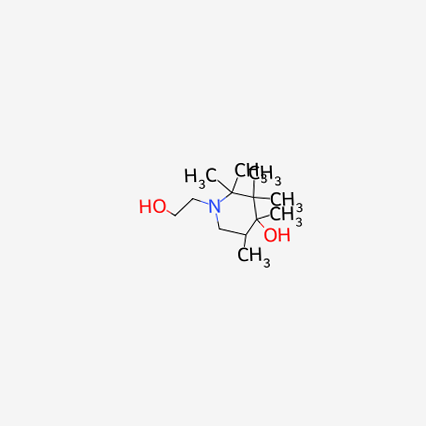 CC1CN(CCO)C(C)(C)C(C)(C)C1(C)O